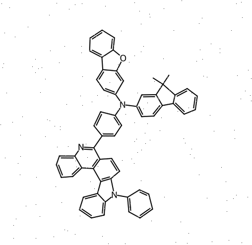 CC1(C)c2ccccc2-c2ccc(N(c3ccc(-c4nc5ccccc5c5c4ccc4c5c5ccccc5n4-c4ccccc4)cc3)c3ccc4c(c3)oc3ccccc34)cc21